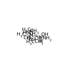 CC(C)C(NC(C)(C)C)C(=O)NC(CCCNC(N)O)C(=O)C(C)(C)C